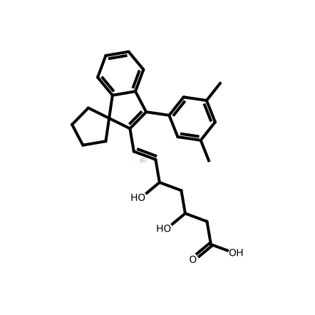 Cc1cc(C)cc(C2=C(/C=C/C(O)CC(O)CC(=O)O)C3(CCCC3)c3ccccc32)c1